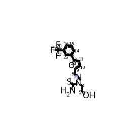 NC(=S)N(CCO)/N=C/c1ccc(-c2cccc(C(F)(F)F)c2)o1